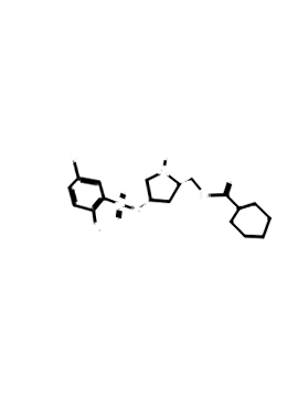 O=C(NC[C@H]1C[C@@H](NS(=O)(=O)c2cc(Br)ccc2Br)CN1C(=O)O)C1CCCCC1